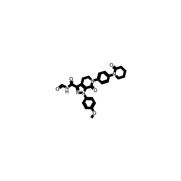 COc1ccc(-n2nc(C(=O)NC=O)c3c2C(=O)N(c2ccc(N4CCCCC4=O)cc2)CC3)cc1